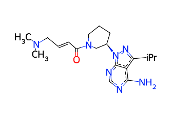 CC(C)c1nn([C@@H]2CCCN(C(=O)/C=C/CN(C)C)C2)c2ncnc(N)c12